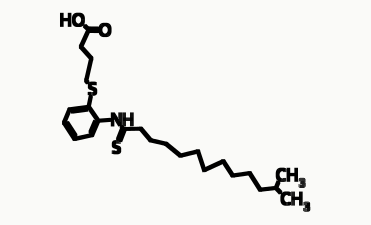 CC(C)CCCCCCCCCCC(=S)Nc1ccccc1SCCCC(=O)O